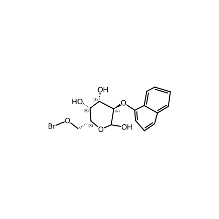 OC1O[C@H](COBr)[C@H](O)[C@H](O)[C@H]1Oc1cccc2ccccc12